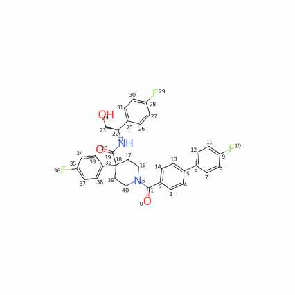 O=C(c1ccc(-c2ccc(F)cc2)cc1)N1CCC(C(=O)N[C@@H](CO)c2ccc(F)cc2)(c2ccc(F)cc2)CC1